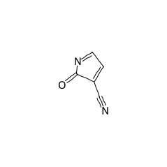 N#CC1=CC=NC1=O